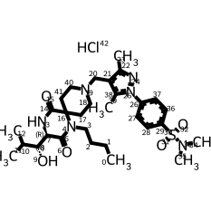 CCCCN1C(=O)[C@@H]([C@H](O)C(C)C)NC(=O)C12CCN(Cc1c(C)nn(-c3ccc(S(=O)(=O)N(C)C)cc3)c1C)CC2.Cl